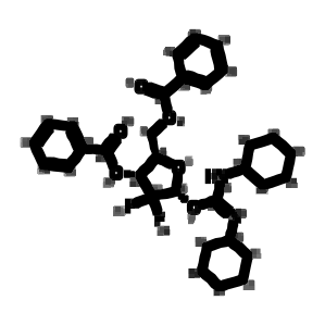 O=C(OC[C@H]1O[C@H](OC(=NC2CCCCC2)NC2CCCCC2)C(F)(F)[C@@H]1OC(=O)c1ccccc1)c1ccccc1